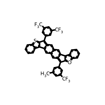 Cc1cc(C2=c3cc4cc5c(cc4cc3-c3c2oc2ccccc32)=C(c2cc(C(F)(F)F)cc(C(F)(F)F)c2)c2sc3ccccc3c2-5)cc(C(F)(F)F)c1